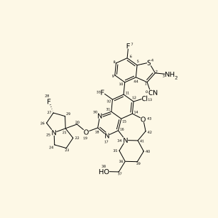 N#Cc1c(N)sc2c(F)ccc(-c3c(Cl)c4c5c(nc(OCC67CCCN6C[C@H](F)C7)nc5c3F)N3CC(CO)CCC3CO4)c12